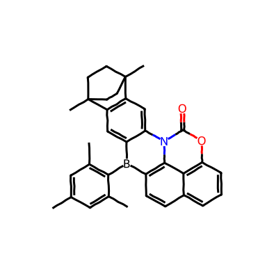 Cc1cc(C)c(B2c3cc4c(cc3N3C(=O)Oc5cccc6ccc2c3c56)C2(C)CCC4(C)CC2)c(C)c1